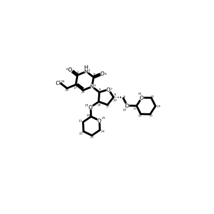 O=c1[nH]c(=O)n(C2O[C@H](COC3CCCCO3)CC2OC2CCCCO2)cc1CCl